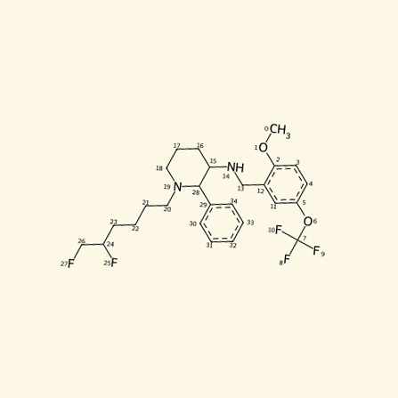 COc1ccc(OC(F)(F)F)cc1CNC1CCCN(CCCCC(F)CF)C1c1ccccc1